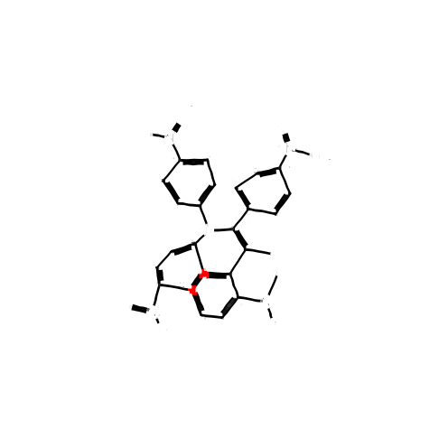 C/C(=C(/B(c1ccc([N+](=O)[O-])cc1)c1ccc([N+](=O)[O-])cc1)c1ccc([N+](=O)[O-])cc1)c1ccccc1N(C)C